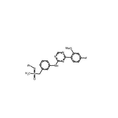 COc1cc(F)ccc1-c1ncnc(Nc2cccc(CS(C)(=O)=NC(C)C)c2)n1